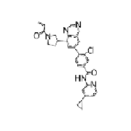 C=CC(=O)N1CCC(c2cc(-c3ccc(C(=O)Nc4cc(C5CC5)ccn4)cc3Cl)cc3cncnc23)C1